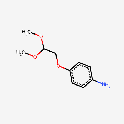 COC(COc1ccc(N)cc1)OC